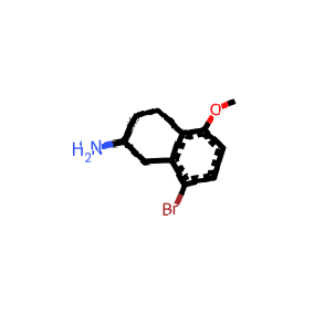 COc1ccc(Br)c2c1CCC(N)C2